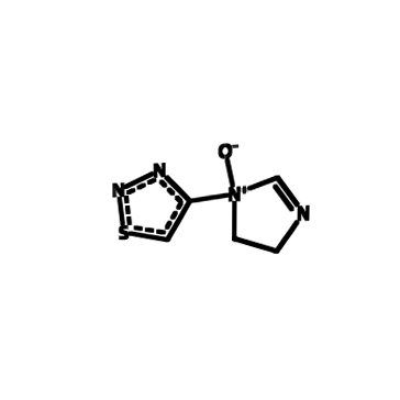 [O-][N+]1(c2csnn2)C=NCC1